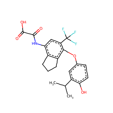 CC(C)c1cc(Oc2c(C(F)(F)F)cc(NC(=O)C(=O)O)c3c2CCC3)ccc1O